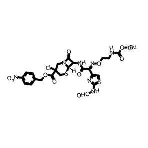 CC(C)(C)OC(=O)NCCON=C(C(=O)NC1C(=O)N2CC(Cl)(C(=O)OCc3ccc([N+](=O)[O-])cc3)CS[C@H]12)c1csc(NC=O)n1